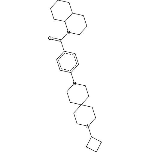 O=C(c1ccc(N2CCC3(CC2)CCN(C2CCC2)CC3)cc1)N1CCCC2CCCCC21